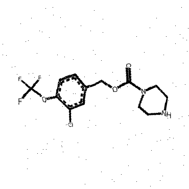 O=C(OCc1ccc(OC(F)(F)F)c(Cl)c1)N1CCNCC1